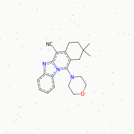 CC1(C)CCc2c(c(N3CCOCC3)n3c(nc4ccccc43)c2C#N)C1